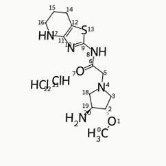 CO[C@H]1CN(CC(=O)Nc2nc3c(s2)CCCN3)C[C@@H]1N.Cl.Cl